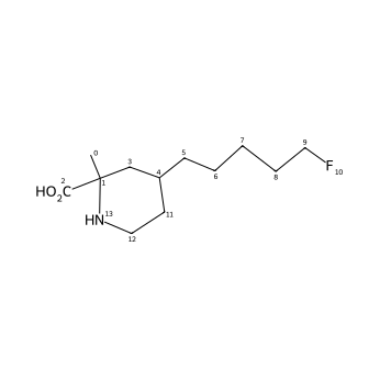 CC1(C(=O)O)CC(CCCCCF)CCN1